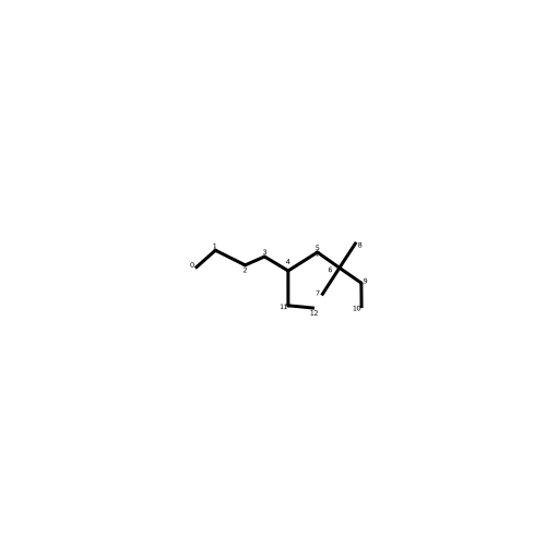 CCCCC([CH]C(C)(C)CC)CC